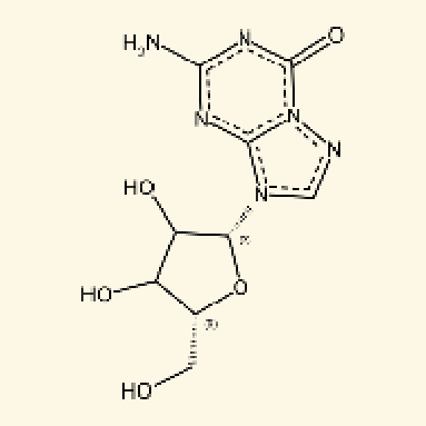 Nc1nc(=O)n2ncn([C@@H]3O[C@H](CO)C(O)C3O)c2n1